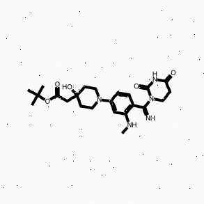 CNc1cc(N2CCC(O)(CC(=O)OC(C)(C)C)CC2)ccc1C(=N)N1CCC(=O)NC1=O